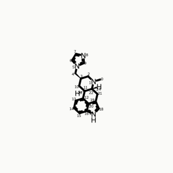 CN1C[C@H](Cn2ccnc2)C[C@@H]2c3cccc4[nH]cc(c34)C[C@H]21